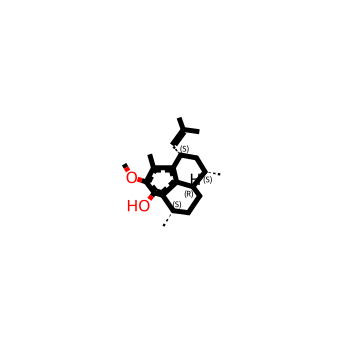 COc1c(C)c2c3c(c1O)[C@@H](C)CC[C@@H]3[C@@H](C)C[C@H]2C=C(C)C